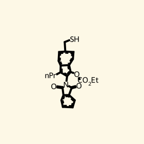 CCCc1c2ccc(CS)ccc-2c(OC(=O)OCC)c1N1C(=O)c2ccccc2C1=O